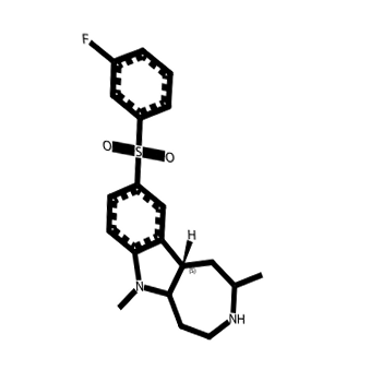 CC1C[C@H]2c3cc(S(=O)(=O)c4cccc(F)c4)ccc3N(C)C2CCN1